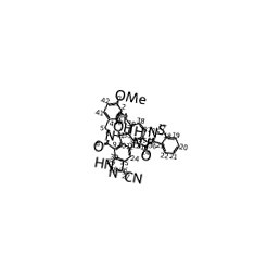 COc1ccc(CN2C(=O)c3c(c(NC(=O)c4nsc5ccccc45)cc4c(C#N)n[nH]c34)C2(O)c2cc(F)ccc2Cl)cc1